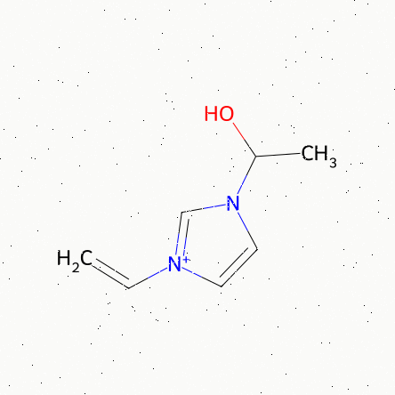 C=C[n+]1ccn(C(C)O)c1